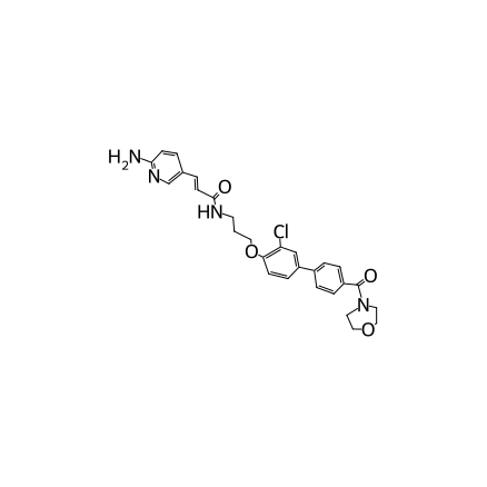 Nc1ccc(C=CC(=O)NCCCOc2ccc(-c3ccc(C(=O)N4CCOCC4)cc3)cc2Cl)cn1